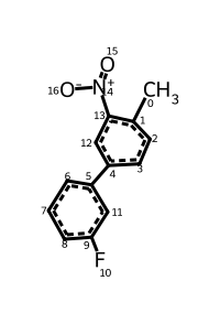 Cc1ccc(-c2cccc(F)c2)cc1[N+](=O)[O-]